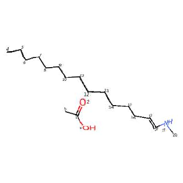 CC(=O)O.CCCCCCCCCCCCCC=CNC